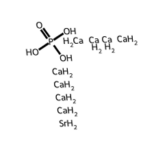 O=P(O)(O)O.[CaH2].[CaH2].[CaH2].[CaH2].[CaH2].[CaH2].[CaH2].[CaH2].[SrH2]